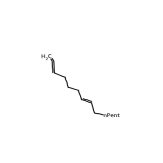 C=C=CCCCC=CCCCCCC